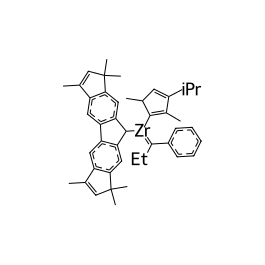 CC[C](c1ccccc1)=[Zr]([C]1=C(C)C(C(C)C)=CC1C)[CH]1c2cc3c(cc2-c2cc4c(cc21)C(C)(C)C=C4C)C(C)=CC3(C)C